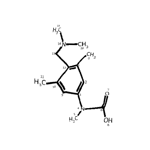 Cc1cc(N(C)C(=O)O)cc(C)c1CN(C)C